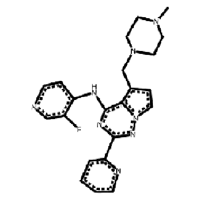 CN1CCN(Cc2ccn3nc(-c4ccccn4)nc(Nc4ccncc4F)c23)CC1